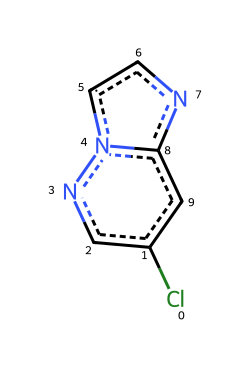 Clc1cnn2[c]cnc2c1